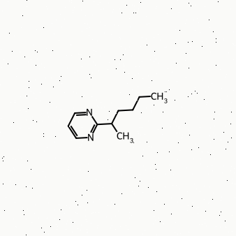 CCCCC(C)c1ncccn1